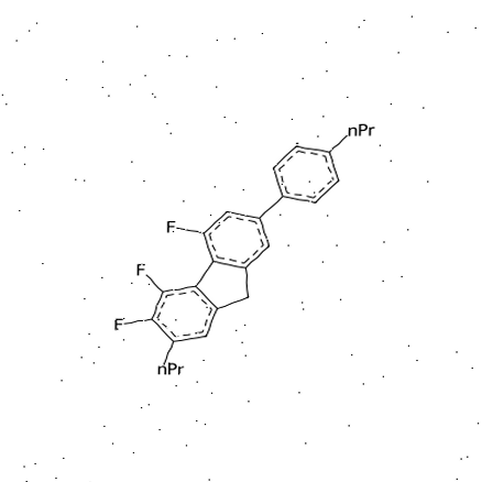 CCCc1ccc(-c2cc(F)c3c(c2)Cc2cc(CCC)c(F)c(F)c2-3)cc1